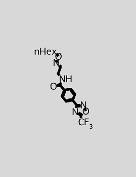 CCCCCCON=CCNC(=O)c1ccc(-c2noc(C(F)(F)F)n2)cc1